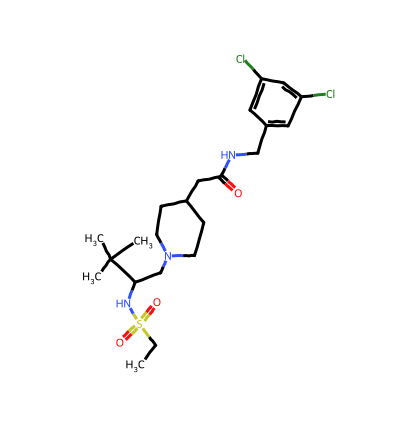 CCS(=O)(=O)NC(CN1CCC(CC(=O)NCc2cc(Cl)cc(Cl)c2)CC1)C(C)(C)C